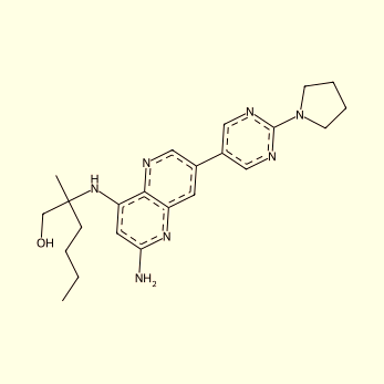 CCCCC(C)(CO)Nc1cc(N)nc2cc(-c3cnc(N4CCCC4)nc3)cnc12